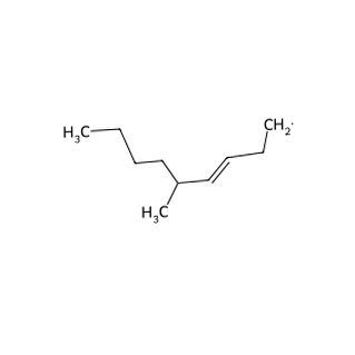 [CH2]CC=CC(C)CCCC